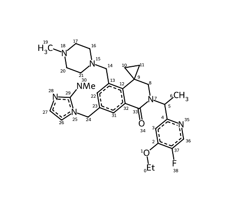 CCOc1cc(C(C)N2CC3(CC3)c3c(CN4CCN(C)CC4)cc(Cn4ccnc4NC)cc3C2=O)ncc1F